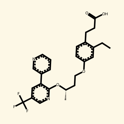 CCc1cc(OCC[C@H](C)Oc2ncc(C(F)(F)F)cc2-c2cccnc2)ccc1CCC(=O)O